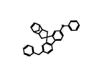 C1=CC2CC1C1CC3(CC21)c1cc(Cc2ccccc2)ccc1-c1ccc(Oc2ccccc2)cc13